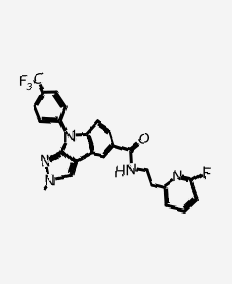 Cn1cc2c3cc(C(=O)NCCc4cccc(F)n4)ccc3n(-c3ccc(C(F)(F)F)cc3)c2n1